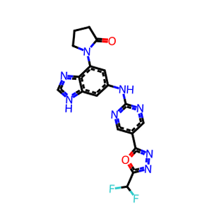 O=C1CCCN1c1cc(Nc2ncc(-c3nnc(C(F)F)o3)cn2)cc2[nH]cnc12